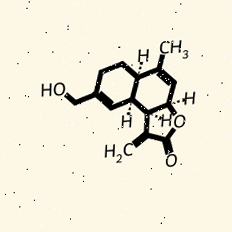 C=C1C(=O)O[C@@H]2C=C(C)[C@@H]3CCC(CO)=C[C@@H]3[C@H]12